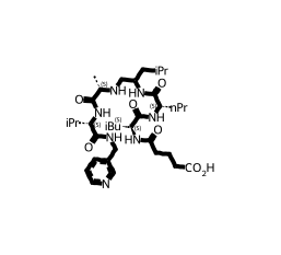 CCC[C@H](NC(=O)[C@@H](NC(=O)CCCC(=O)O)[C@@H](C)CC)C(=O)NC(CN[C@@H](C)C(=O)N[C@H](C(=O)NCc1cccnc1)C(C)C)CC(C)C